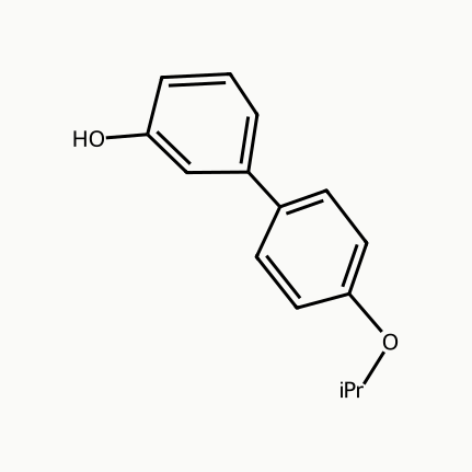 CC(C)Oc1ccc(-c2cccc(O)c2)cc1